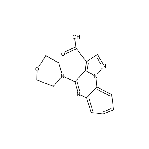 O=C(O)c1cnn2c1c(N1CCOCC1)nc1ccccc12